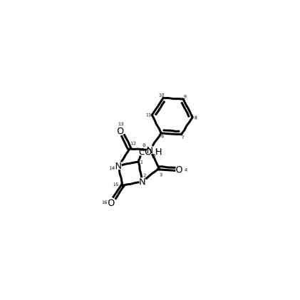 O=C(O)C1n2c(=O)n(-c3ccccc3)c(=O)n1c2=O